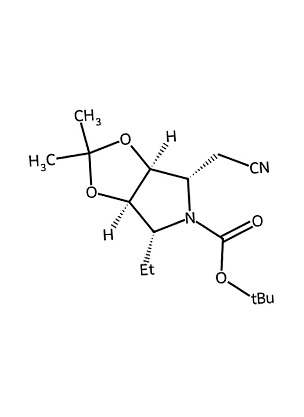 CC[C@@H]1[C@H]2OC(C)(C)O[C@H]2[C@H](CC#N)N1C(=O)OC(C)(C)C